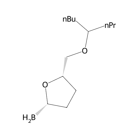 B[C@H]1CC[C@@H](COC(CCC)CCCC)O1